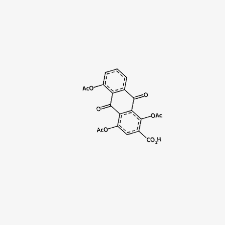 CC(=O)Oc1cccc2c1C(=O)c1c(OC(C)=O)cc(C(=O)O)c(OC(C)=O)c1C2=O